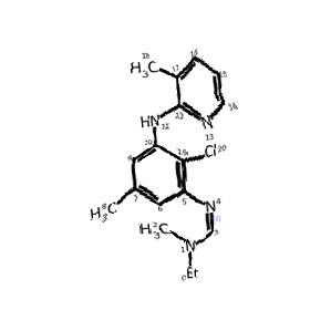 CCN(C)/C=N\c1cc(C)cc(Nc2ncccc2C)c1Cl